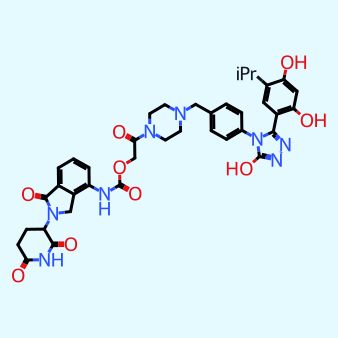 CC(C)c1cc(-c2nnc(O)n2-c2ccc(CN3CCN(C(=O)COC(=O)Nc4cccc5c4CN(C4CCC(=O)NC4=O)C5=O)CC3)cc2)c(O)cc1O